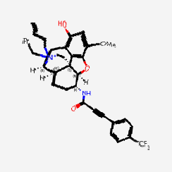 C=CC[N+]1(CC(C)C)CC[C@]23c4c5c(O)cc(OC)c4O[C@H]2[C@H](NC(=O)C#Cc2ccc(C(F)(F)F)cc2)CC[C@H]3[C@H]1C5